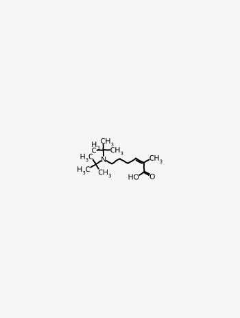 CC(=CCCCN(C(C)(C)C)C(C)(C)C)C(=O)O